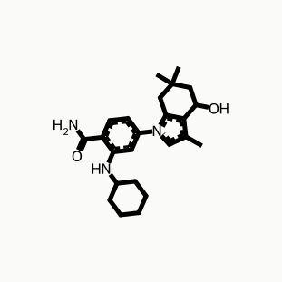 Cc1cn(-c2ccc(C(N)=O)c(NC3CCCCC3)c2)c2c1C(O)CC(C)(C)C2